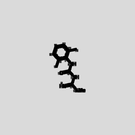 CNC(=N)NC(=O)Nc1c(C)cccc1C